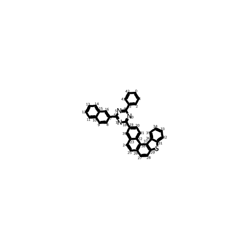 c1ccc(-c2nc(-c3ccc4ccccc4c3)nc(-c3ccc4c(ccc5ccc6sc7ccccc7c6c54)c3)n2)cc1